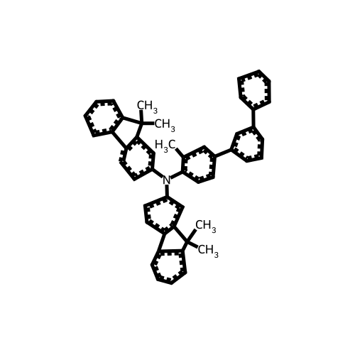 Cc1cc(-c2cccc(-c3ccccc3)c2)ccc1N(c1ccc2c(c1)C(C)(C)c1ccccc1-2)c1ccc2c(c1)C(C)(C)c1ccccc1-2